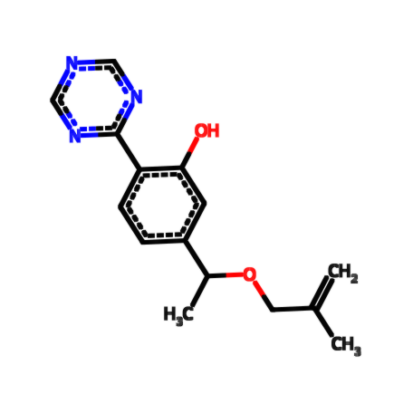 C=C(C)COC(C)c1ccc(-c2ncncn2)c(O)c1